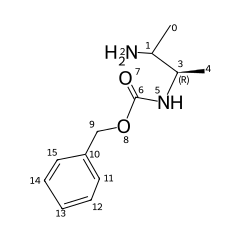 CC(N)[C@@H](C)NC(=O)OCc1ccccc1